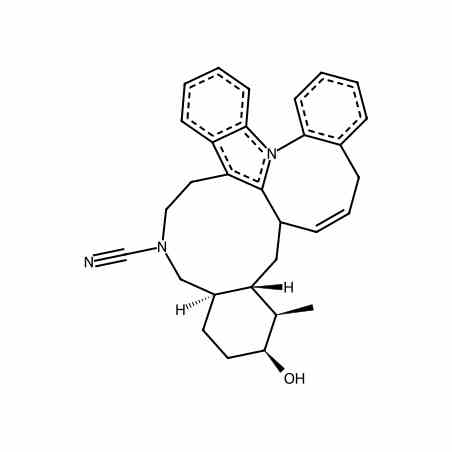 C[C@@H]1[C@H]2CC3/C=C\Cc4ccccc4-n4c3c(c3ccccc34)CCN(C#N)C[C@@H]2CC[C@@H]1O